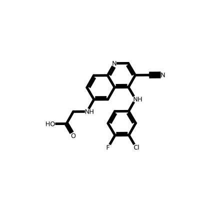 N#Cc1cnc2ccc(NCC(=O)O)cc2c1Nc1ccc(F)c(Cl)c1